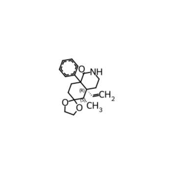 C=C[C@@]12CCNC(=O)C1(c1ccccc1)CCC1(OCCO1)[C@H]2C